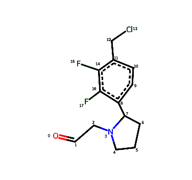 O=CCN1CCCC1c1ccc(CCl)c(F)c1F